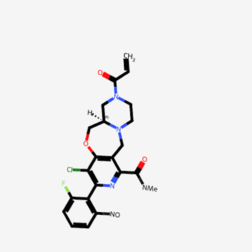 C=CC(=O)N1CCN2Cc3c(C(=O)NC)nc(-c4c(F)cccc4N=O)c(Cl)c3OC[C@H]2C1